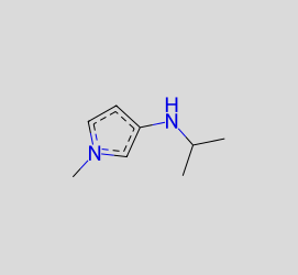 CC(C)Nc1ccn(C)c1